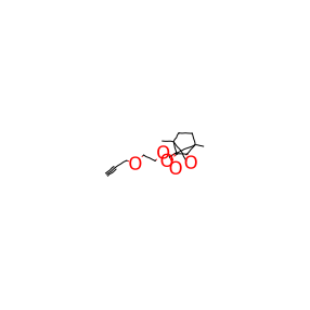 C#CCOCCOC(=O)C1(C)C2(C)CCC1(C)C(=O)C2=O